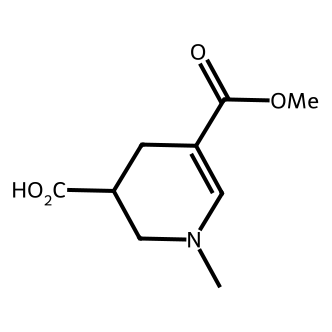 COC(=O)C1=CN(C)CC(C(=O)O)C1